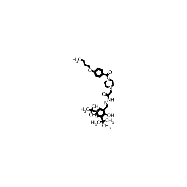 CCCCOc1ccc(C(=O)N2CCN(CC(=O)N/N=C/c3cc(C(C)(C)C)cc(C(C)(C)C)c3O)CC2)cc1